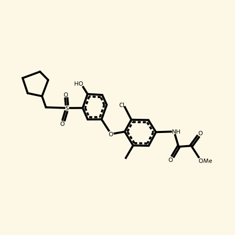 COC(=O)C(=O)Nc1cc(C)c(Oc2ccc(O)c(S(=O)(=O)CC3CCCC3)c2)c(Cl)c1